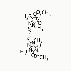 CC(=O)Cn1c(=O)c2c(nc(SCCCSc3nc4c(c(=O)n(CC(C)=O)c(=O)n4C)n3C)n2C)n(C)c1=O